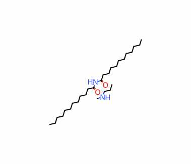 CCCCCCCCCCCC(=O)NC(=O)CCCCCCCCCCC.CCCNC